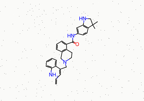 C=C/C=C(/CN1CCc2c(cccc2C(=O)Nc2ccc3c(c2)NCC3(C)C)C1)c1ccccc1N